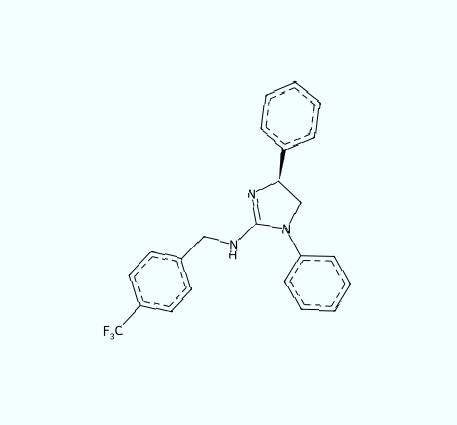 FC(F)(F)c1ccc(CNC2=N[C@@H](c3ccccc3)CN2c2ccccc2)cc1